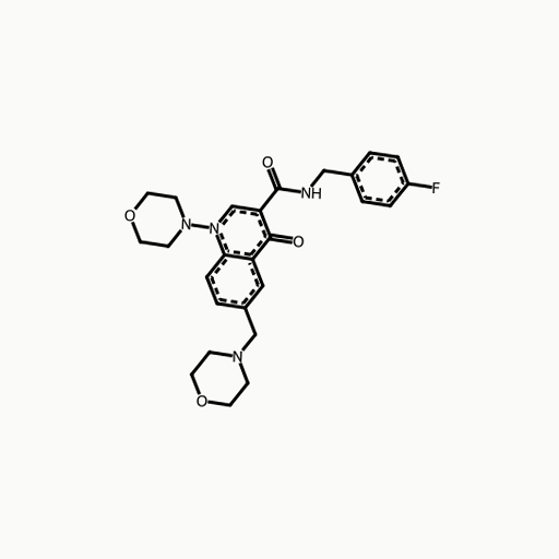 O=C(NCc1ccc(F)cc1)c1cn(N2CCOCC2)c2ccc(CN3CCOCC3)cc2c1=O